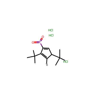 CC(C)(C)C1=[C]([Ti])C(C(C)(C)C)C=C1P(=O)=O.Cl.Cl.Cl